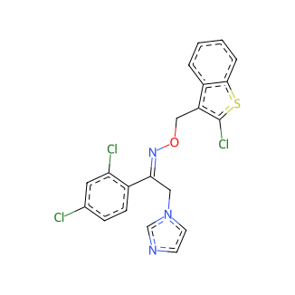 Clc1ccc(/C(Cn2ccnc2)=N/OCc2c(Cl)sc3ccccc23)c(Cl)c1